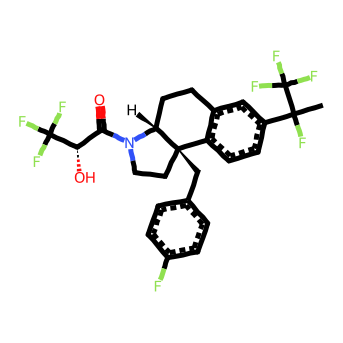 CC(F)(c1ccc2c(c1)CC[C@H]1N(C(=O)[C@H](O)C(F)(F)F)CC[C@@]21Cc1ccc(F)cc1)C(F)(F)F